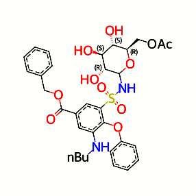 CCCCNc1cc(C(=O)OCc2ccccc2)cc(S(=O)(=O)NC2O[C@H](COC(C)=O)[C@@H](O)[C@H](O)[C@H]2O)c1Oc1ccccc1